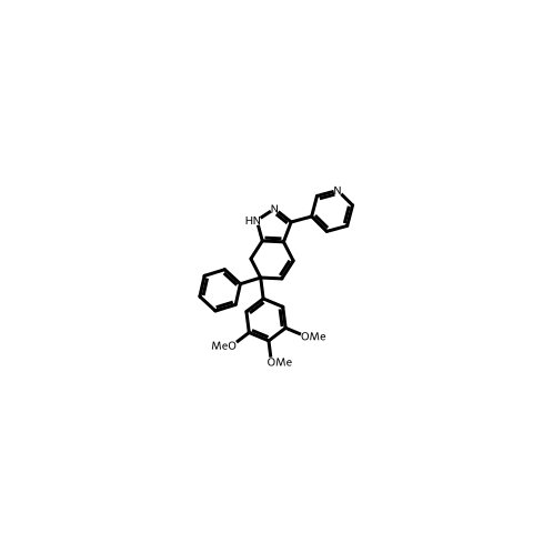 COc1cc(C2(c3ccccc3)C=Cc3c(-c4cccnc4)n[nH]c3C2)cc(OC)c1OC